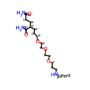 CCCCCNCCCOCCOCCOCCCC(CCC(N)=O)C(N)=O